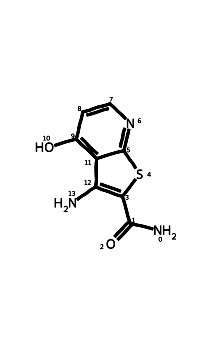 NC(=O)c1sc2nccc(O)c2c1N